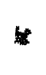 COc1cc(C)cc(-c2nn(CC#N)cc2-c2cc(NCC(C)O)nc(-c3cccnc3)n2)c1